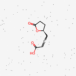 O=C(O)C=C=C[C@@H]1CCC(=O)O1